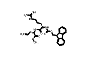 C=CC[C@@H](NC(=O)[C@@H](CCCNC(=N)N)NC(=O)OCC1c2ccccc2-c2ccccc21)C(=O)OC